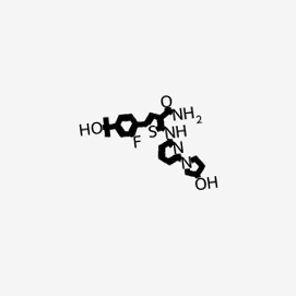 CC(C)(O)c1ccc(-c2cc(C(N)=O)c(Nc3cccc(N4CCC(O)C4)n3)s2)c(F)c1